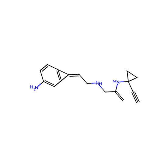 C#CC1(NC(=C)CNC/C=C2/c3ccc(N)cc32)CC1